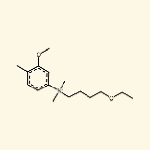 CCOCCCC[N+](C)(C)c1ccc(C)c(OC)c1